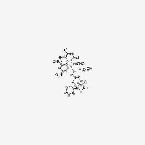 CCC1=C(NC=O)C(c2ccc([N+](=O)[O-])cc2)C(N(C=O)CCCN2CCC3(CC2)C(=O)NCN3c2ccccc2)=C(CC)N1.Cl.O